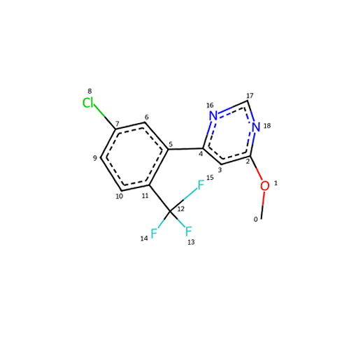 COc1cc(-c2cc(Cl)ccc2C(F)(F)F)ncn1